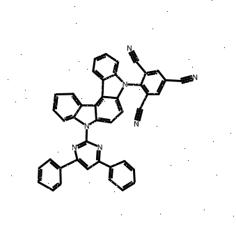 N#Cc1cc(C#N)c(-n2c3ccccc3c3c4c5ccccc5n(-c5nc(-c6ccccc6)cc(-c6ccccc6)n5)c4ccc32)c(C#N)c1